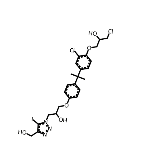 CC(C)(c1ccc(OCC(O)Cn2nnc(CO)c2I)cc1)c1ccc(OCC(O)CCl)c(Cl)c1